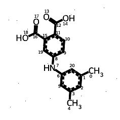 Cc1cc(C)cc(Nc2ccc(C(=O)O)c(C(=O)O)c2)c1